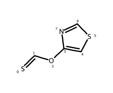 S=COc1cscn1